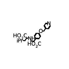 CC(C)C[C@H](N[C@@H](Cc1ccc(OCc2ccncc2)cc1)C(=O)O)C(=O)O